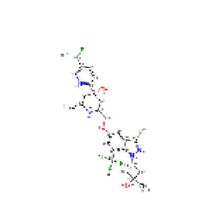 CC1CC(O)(c2ccc(C(F)F)cn2)CC(COc2cc(C(F)(F)F)c3c(c2)c(F)nn3C2CC(C)(O)C2)N1